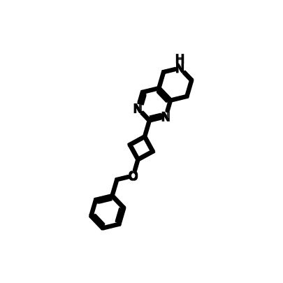 c1ccc(COC2CC(c3ncc4c(n3)CCNC4)C2)cc1